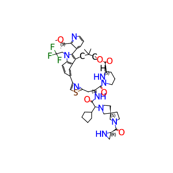 CO[C@@H](C)c1ncccc1-c1c2c3cc(ccc3n1CC(F)(F)F)-c1csc(n1)C[C@H](NC(=O)C(C1CCCC1)N1CC[C@]3(CCN(C(=O)[C@H]4CN4)C3)C1)C(=O)N1CCC[C@H](N1)C(=O)OCC(C)(C)C2